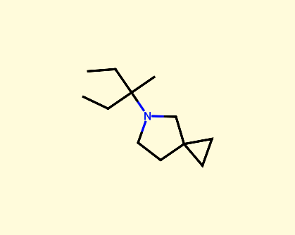 CCC(C)(CC)N1CCC2(CC2)C1